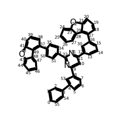 c1ccc(-c2cccc(-c3cc(-c4cccc(-c5cccc6oc7ccccc7c56)c4)nc(-c4ccc(-c5cccc6oc7ccccc7c56)cc4)n3)c2)cc1